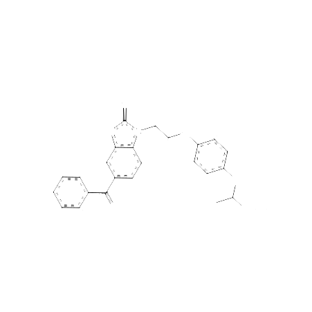 CC(Oc1ccc(OCCn2c(=O)sc3cc(C(=O)c4ccccc4)ccc32)cc1)C(=O)O